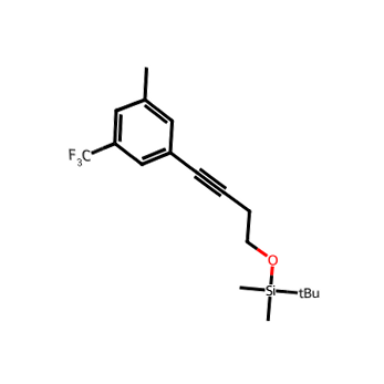 Cc1cc(C#CCCO[Si](C)(C)C(C)(C)C)cc(C(F)(F)F)c1